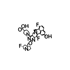 C#Cc1c(F)ccc2cc(O)cc(-c3ncc4c(N5CCC(C(=O)O)CC5)nc(OC[C@@]56CCCN5C[C@H](F)C6)nc4c3F)c12